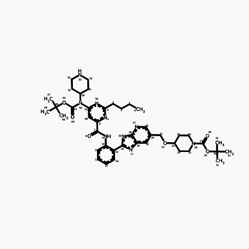 CCCCc1nc(C(=O)Nc2ccccc2-c2nc3cc(COC4CCN(C(=O)OC(C)(C)C)CC4)cnc3s2)cc(N(C(=O)OC(C)(C)C)C2CCNCC2)n1